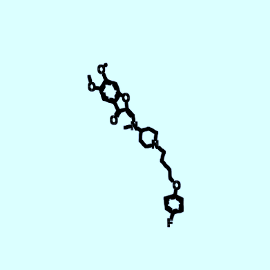 COc1cc2c(cc1OC)C(=O)C(=CN(C)C1CCN(CCCCOc3ccc(F)cc3)CC1)O2